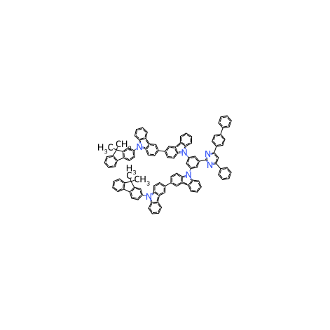 CC1(C)c2ccccc2-c2ccc(-n3c4ccccc4c4cc(-c5ccc6c(c5)c5ccccc5n6-c5cc(-c6nc(-c7ccccc7)cc(-c7ccc(-c8ccccc8)cc7)n6)cc(-n6c7ccccc7c7cc(-c8ccc9c(c8)c8ccccc8n9-c8ccc9c(c8)C(C)(C)c8ccccc8-9)ccc76)c5)ccc43)cc21